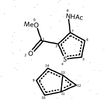 COC(=O)c1sccc1NC(C)=O.c1cc2cc-2c1